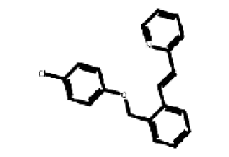 Clc1ccc(OCc2ccccc2C=Cc2ccccn2)cc1